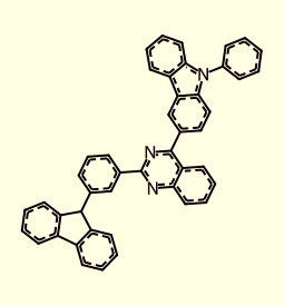 c1ccc(-n2c3ccccc3c3cc(-c4nc(-c5cccc(C6c7ccccc7-c7ccccc76)c5)nc5ccccc45)ccc32)cc1